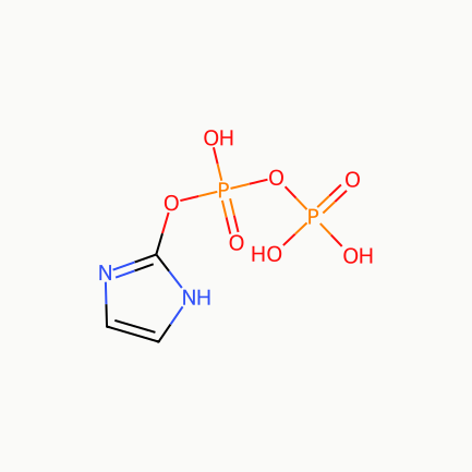 O=P(O)(O)OP(=O)(O)Oc1ncc[nH]1